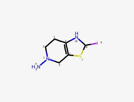 NN1CCC2=C(C1)SC(I)N2